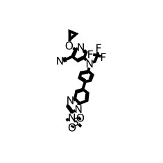 CN(c1cnc2cc(-c3ccc(N(CC(F)(F)F)c4cnc(OC5CC5)c(C#N)c4)cc3)ccc2n1)S(C)(=O)=O